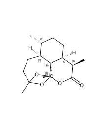 C[C@@H]1CC[C@H]2[C@@H](C)C(=O)O[C@]3(C)OC4(C)CC[C@@H]1[C@@]23OO4